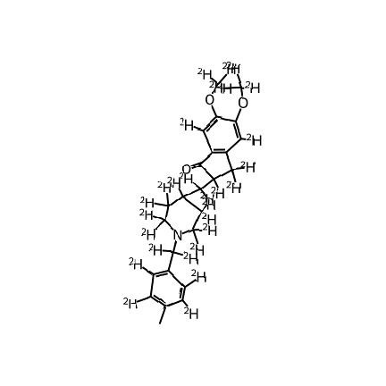 [2H]c1c([2H])c(C([2H])([2H])N2C([2H])([2H])C([2H])([2H])C([2H])(C([2H])([2H])C3([2H])C(=O)c4c([2H])c(OC([2H])([2H])[2H])c(OC([2H])([2H])[2H])c([2H])c4C3([2H])[2H])C([2H])([2H])C2([2H])[2H])c([2H])c([2H])c1C